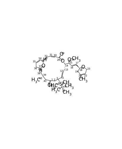 C=C1CC([Si](C)(C)C(C)(C)C)/C=C/C[C@@H]([C@H](/C=C/[C@@H]2CC(C)=CCO2)OC)OC(=O)/C=C\C[C@@H]2C=CC[C@@H](C[C@@H](C)C1)O2